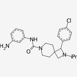 CC(C)N1CC2(CCN(C(=O)Nc3cccc(N)c3)CC2)C1c1ccc(Cl)cc1